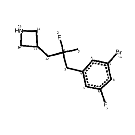 CC(F)(Cc1cc(F)cc(Br)c1)CC1CNC1